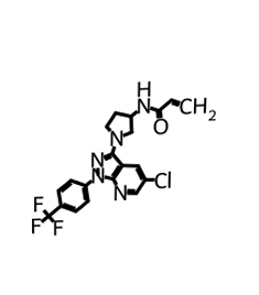 C=CC(=O)NC1CCN(c2nn(-c3ccc(C(F)(F)F)cc3)c3ncc(Cl)cc23)C1